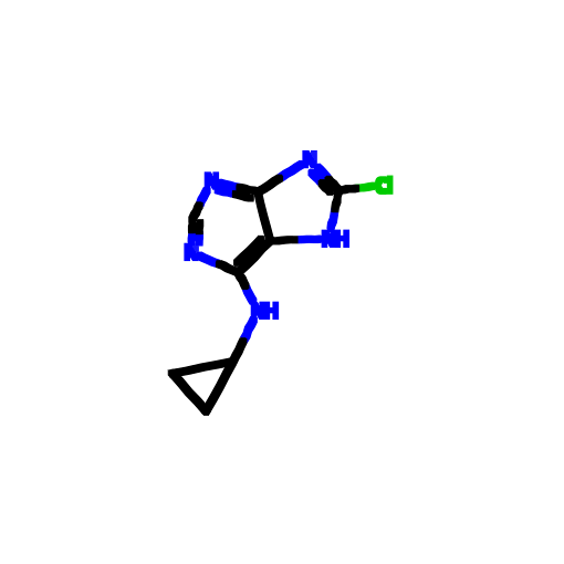 Clc1nc2ncnc(NC3CC3)c2[nH]1